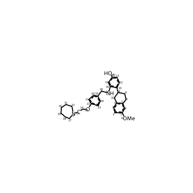 COc1ccc2c(c1)CCC(c1ccc(O)cc1NCc1ccc(OCCN3CCCCCC3)cc1)C2